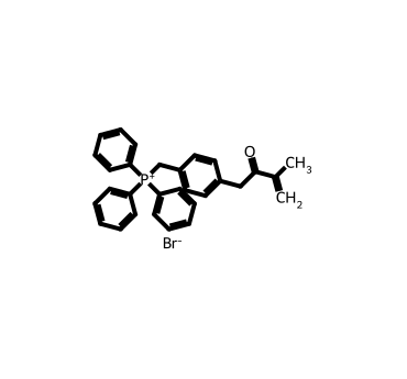 C=C(C)C(=O)Cc1ccc(C[P+](c2ccccc2)(c2ccccc2)c2ccccc2)cc1.[Br-]